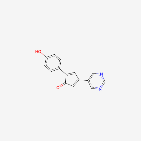 O=C1C=C(c2cncnc2)C=C1c1ccc(O)cc1